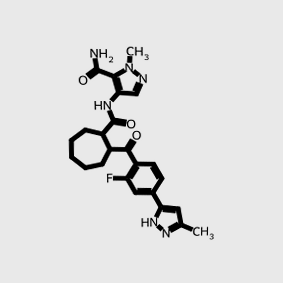 Cc1cc(-c2ccc(C(=O)C3CCCCCC3C(=O)Nc3cnn(C)c3C(N)=O)c(F)c2)[nH]n1